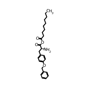 CCCCCCCCCC(=O)OC(=O)[C@@H](N)Cc1ccc(OCc2ccccc2)cc1